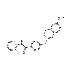 COc1ccc2c(c1)CCC(Cc1ccc(C(=O)Nc3ccccc3C)cc1)=C2